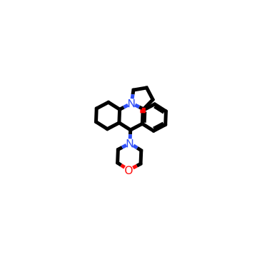 c1ccc(C(C2CCCCC2N2CCCC2)N2CCOCC2)cc1